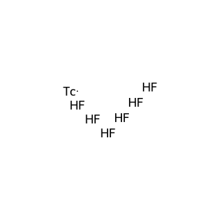 F.F.F.F.F.F.[Tc]